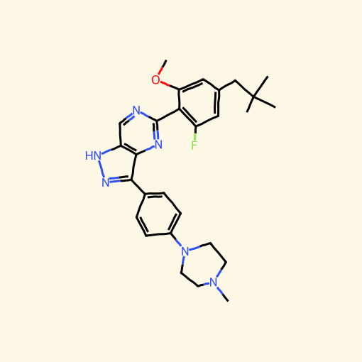 COc1cc(CC(C)(C)C)cc(F)c1-c1ncc2[nH]nc(-c3ccc(N4CCN(C)CC4)cc3)c2n1